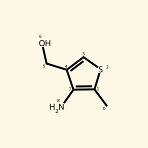 Cc1scc(CO)c1N